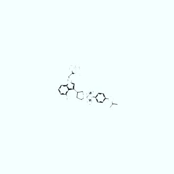 CC(C)Oc1ccc(S(=O)(=O)N2CCC(c3cn(CC(=O)O)c4cccc(F)c34)C2)cc1